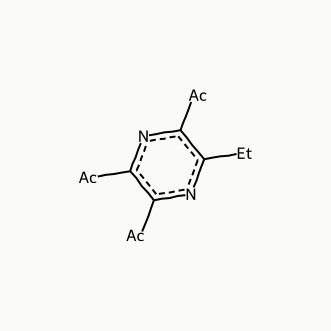 CCc1nc(C(C)=O)c(C(C)=O)nc1C(C)=O